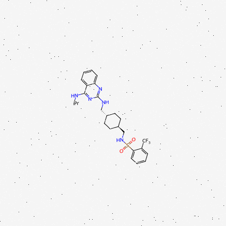 CC(C)Nc1nc(NC[C@H]2CC[C@H](CNS(=O)(=O)c3ccccc3C(F)(F)F)CC2)nc2ccccc12